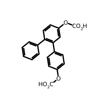 O=C(O)Oc1ccc(-c2cc(OC(=O)O)ccc2-c2ccccc2)cc1